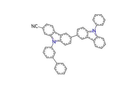 N#Cc1ccc2c3cc(-c4ccc5c(c4)c4ccccc4n5-c4ccccc4)ccc3n(-c3cccc(-c4ccccc4)c3)c2c1